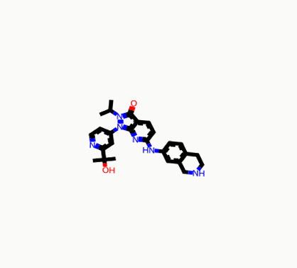 CC(C)n1c(=O)c2ccc(Nc3ccc4c(c3)CNCC4)nc2n1-c1ccnc(C(C)(C)O)c1